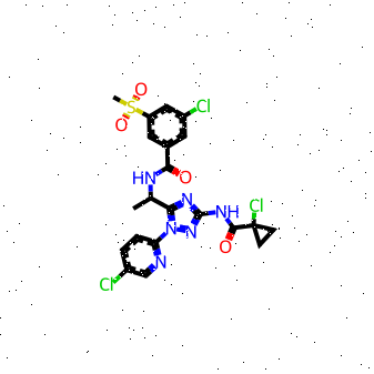 CC(NC(=O)c1cc(Cl)cc(S(C)(=O)=O)c1)c1nc(NC(=O)C2(Cl)CC2)nn1-c1ccc(Cl)cn1